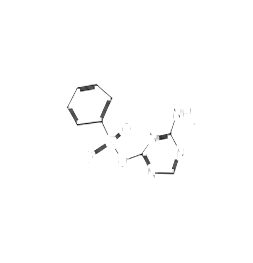 Nc1ncnc(OS(=O)(=O)c2ccccc2)n1